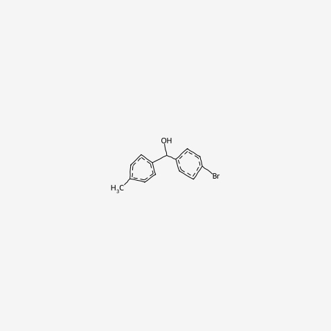 Cc1ccc(C(O)c2ccc(Br)cc2)cc1